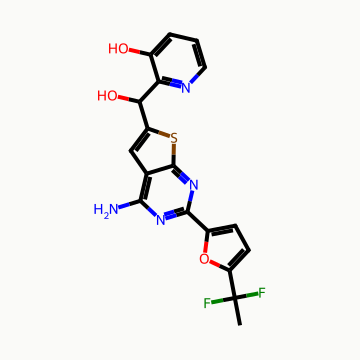 CC(F)(F)c1ccc(-c2nc(N)c3cc(C(O)c4ncccc4O)sc3n2)o1